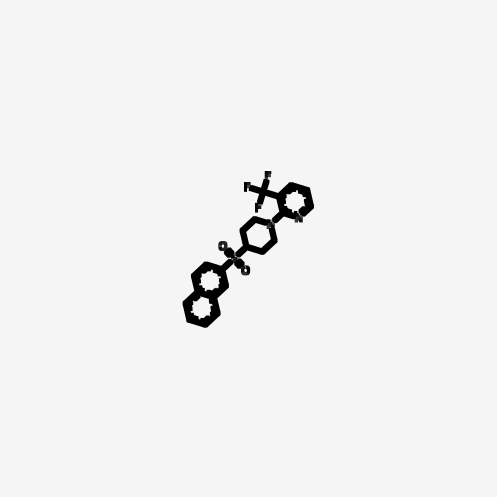 O=S(=O)(c1ccc2ccccc2c1)C1CCN(c2ncccc2C(F)(F)F)CC1